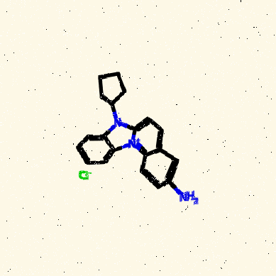 Nc1ccc2c(ccc3n(C4CCCC4)c4ccccc4[n+]23)c1.[Cl-]